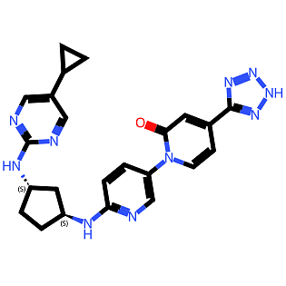 O=c1cc(-c2nn[nH]n2)ccn1-c1ccc(N[C@H]2CC[C@H](Nc3ncc(C4CC4)cn3)C2)nc1